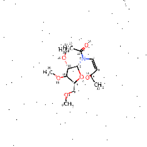 COC[C@H]1O[C@@H](N(/C=C\C(C)=O)C(C)=O)[C@@H](OC)C1OC